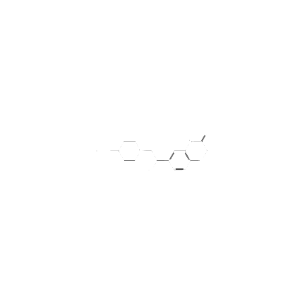 O=C1COc2ccc(C(O)CN3CCC(C(=O)O)CC3)cc2N1